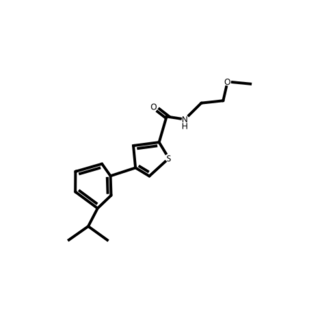 COCCNC(=O)c1cc(-c2cccc(C(C)C)c2)cs1